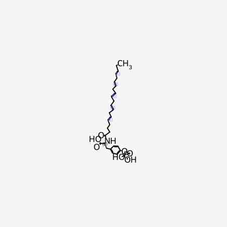 CC/C=C/C/C=C/C/C=C/C/C=C/C/C=C/CCCC(=O)N[C@@H](Cc1ccc(OP(=O)(O)O)cc1)C(=O)O